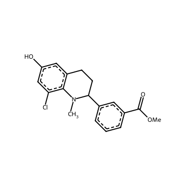 COC(=O)c1cccc(C2CCc3cc(O)cc(Cl)c3N2C)c1